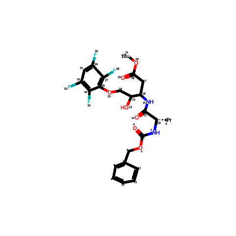 CC(C)[C@H](NC(=O)OCc1ccccc1)C(=O)NC(CC(=O)OC(C)(C)C)C(O)COc1c(F)c(F)cc(F)c1F